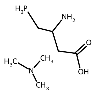 CN(C)C.NC(CP)CC(=O)O